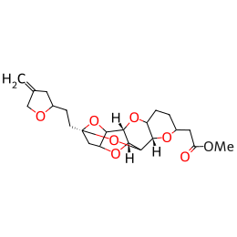 C=C1COC(CC[C@@]23CC4O[C@H]5C(O2)[C@H]2OC(CC(=O)OC)CCC2O[C@H]5C4O3)C1